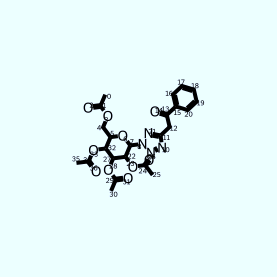 CC(=O)OCC1OC(n2nnc(CC(=O)c3ccccc3)n2)C(OC(C)=O)C(OC(C)=O)C1OC(C)=O